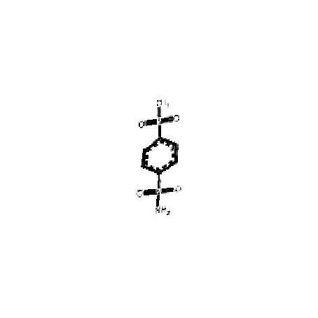 CS(=O)(=O)c1ccc(S(N)(=O)=O)cc1